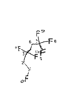 FCCC(F)(F)CC(F)(F)F